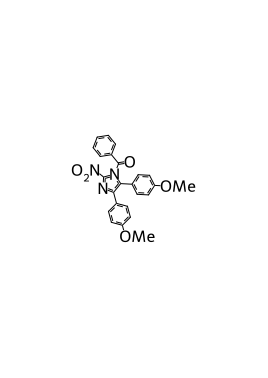 COc1ccc(-c2nc([N+](=O)[O-])n(C(=O)c3ccccc3)c2-c2ccc(OC)cc2)cc1